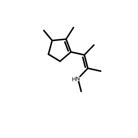 CN/C(C)=C(/C)C1=C(C)C(C)CC1